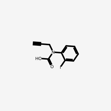 C#CCN(C(=O)O)c1ccccc1I